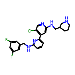 Fc1cc(F)cc(CNc2cccc(-c3cc(NCC4CCCNC4)ncc3Cl)n2)c1